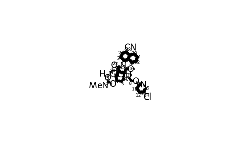 CNC(=O)O[C@H]1C[C@@]2(CCOc3ccc(Cl)cn3)O[C@]1(C)[C@@H]1C(=O)N(c3ccc(C#N)c4ccccc34)C(=O)[C@@H]12